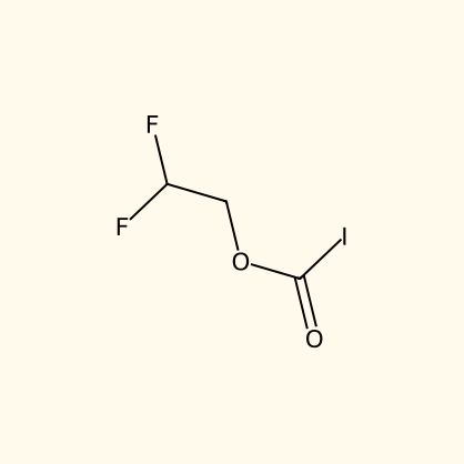 O=C(I)OCC(F)F